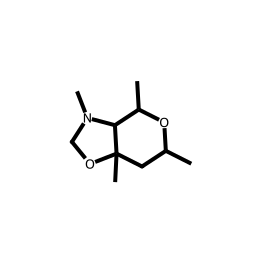 CC1CC2(C)OCN(C)C2C(C)O1